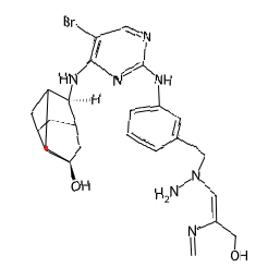 C=N/C(=C\N(N)Cc1cccc(Nc2ncc(Br)c(N[C@H]3C4CC5CC3C[C@@](O)(C5)C4)n2)c1)CO